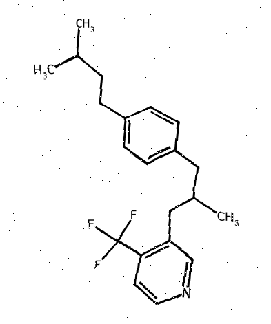 CC(C)CCc1ccc(CC(C)Cc2cnccc2C(F)(F)F)cc1